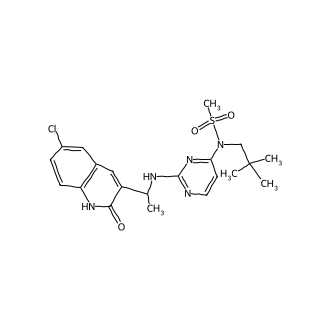 CC(Nc1nccc(N(CC(C)(C)C)S(C)(=O)=O)n1)c1cc2cc(Cl)ccc2[nH]c1=O